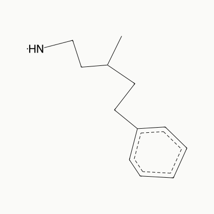 CC(CC[NH])CCc1ccccc1